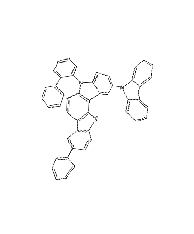 c1ccc(-c2ccc3sc4c(ccc5c4c4cc(-n6c7ccccc7c7ccccc76)ccc4n5-c4ccccc4-c4ccccc4)c3c2)cc1